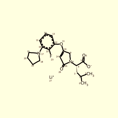 CC(C)C[C@@H](C(=O)[O-])N1CC(Oc2cccc(N3CCCC3)c2F)=CC1=O.[Li+]